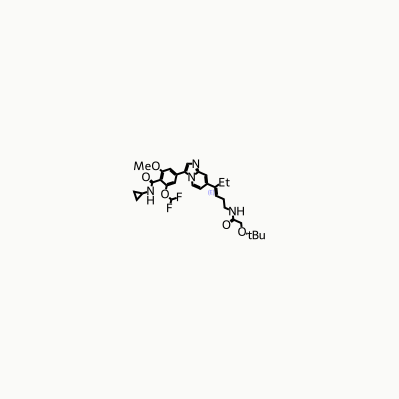 CC/C(=C\CCNC(=O)COC(C)(C)C)c1ccn2c(-c3cc(OC)c(C(=O)NC4CC4)c(OC(F)F)c3)cnc2c1